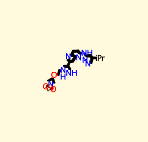 CC(C)c1cnnc(Nc2ccc3ncc(/C(C=N)=C/NCCOC4CN(S(C)(=O)=O)C4)cc3n2)c1